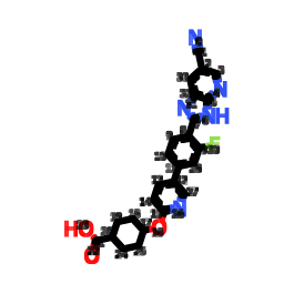 N#Cc1cnc2[nH]c(-c3ccc(-c4ccc(OC5CCC(C(=O)O)CC5)nc4)cc3F)nc2c1